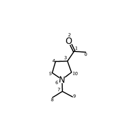 CC(=O)C1CCN(C(C)C)C1